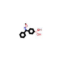 CON=C(c1ccccc1)c1ccc(B(O)O)cc1